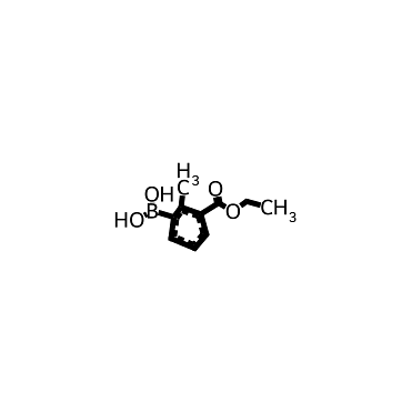 CCOC(=O)c1cccc(B(O)O)c1C